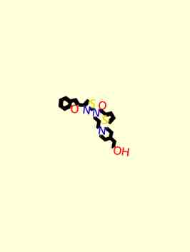 O=C(c1cccs1)N(CCCN1CCC(CCO)CC1)c1nc(-c2cc3ccccc3o2)cs1